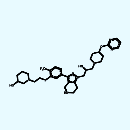 OC1CCCN(CCSc2cc(-c3nn(CC(O)CN4CCC(Oc5ncccn5)CC4)c4c3CNCC4)ccc2C(F)(F)F)C1